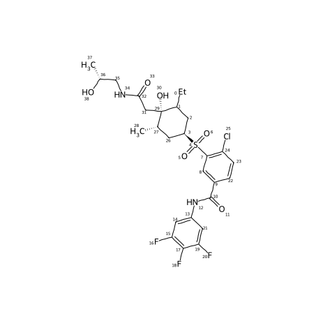 CCC1C[C@@H](S(=O)(=O)c2cc(C(=O)Nc3cc(F)c(F)c(F)c3)ccc2Cl)C[C@H](C)[C@@]1(O)CC(=O)NC[C@@H](C)O